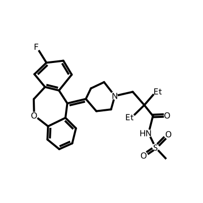 CCC(CC)(CN1CCC(=C2c3ccc(F)cc3COc3ccccc32)CC1)C(=O)NS(C)(=O)=O